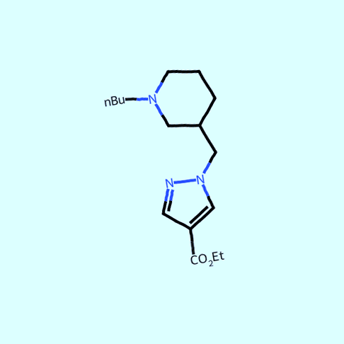 CCCCN1CCCC(Cn2cc(C(=O)OCC)cn2)C1